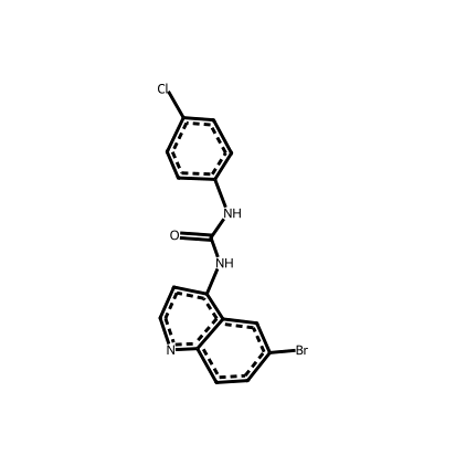 O=C(Nc1ccc(Cl)cc1)Nc1ccnc2ccc(Br)cc12